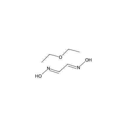 CCOCC.O/N=C/C=N/O